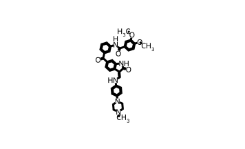 COc1ccc(C(=O)Nc2cccc(C(=O)c3ccc4c(c3)NC(=O)/C4=C/Nc3ccc(N4CCN(C)CC4)cc3)c2)cc1OC